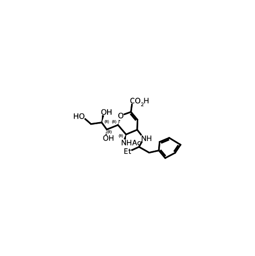 CCC(Cc1ccccc1)NC1C=C(C(=O)O)O[C@@H]([C@H](O)[C@H](O)CO)[C@@H]1NC(C)=O